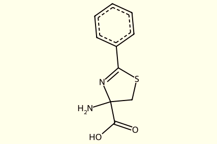 NC1(C(=O)O)CSC(c2ccccc2)=N1